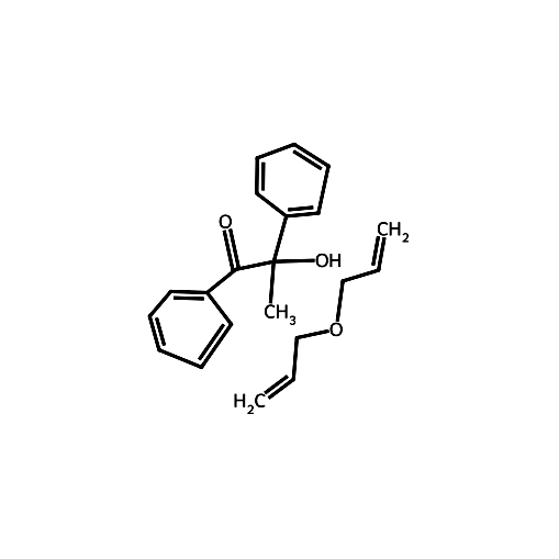 C=CCOCC=C.CC(O)(C(=O)c1ccccc1)c1ccccc1